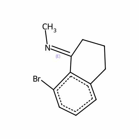 C/N=C1\CCCc2cccc(Br)c21